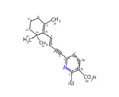 CCc1nc(C#CC=CC2=C(C)CCCC2(C)C)ccc1C(=O)O